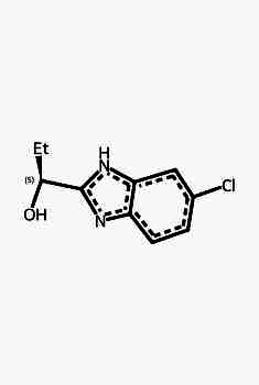 CC[C@H](O)c1nc2ccc(Cl)cc2[nH]1